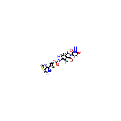 O=C1CC[C@H](N2Cc3ccc(CNC(=O)OC4CC(c5nccc6scnc56)C4)c(F)c3C2=O)C(=O)N1